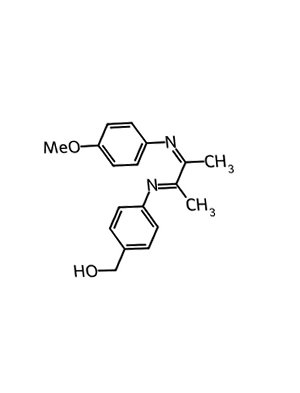 COc1ccc(N=C(C)C(C)=Nc2ccc(CO)cc2)cc1